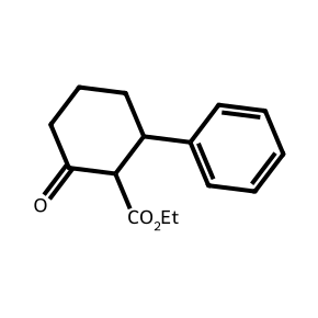 CCOC(=O)C1C(=O)CCCC1c1ccccc1